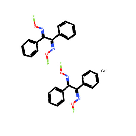 FON=C(C(=NOF)c1ccccc1)c1ccccc1.FON=C(C(=NOF)c1ccccc1)c1ccccc1.[Co]